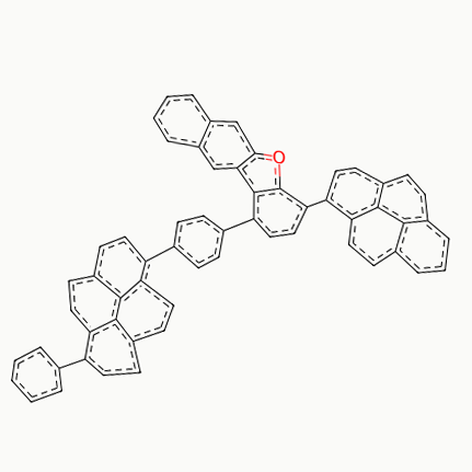 c1ccc(-c2ccc3ccc4c(-c5ccc(-c6ccc(-c7ccc8ccc9cccc%10ccc7c8c9%10)c7oc8cc9ccccc9cc8c67)cc5)ccc5ccc2c3c54)cc1